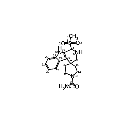 CS(=O)(=O)C1NCC2(CCN(C(N)=O)CC2)c2c1[nH]c1ccccc21